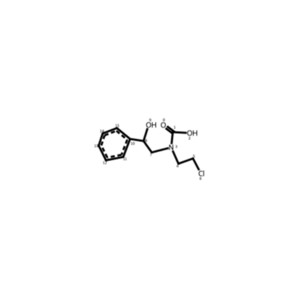 O=C(O)N(CCCl)CC(O)c1ccccc1